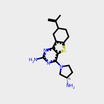 C=C(C)C1CCc2sc3c(N4CC[C@H](N)C4)nc(N)nc3c2C1